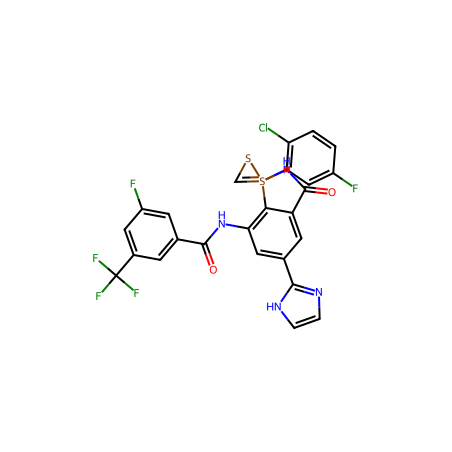 O=C(Nc1cc(-c2ncc[nH]2)cc2c1S1(c3cc(F)ccc3Cl)(=CS1)NC2=O)c1cc(F)cc(C(F)(F)F)c1